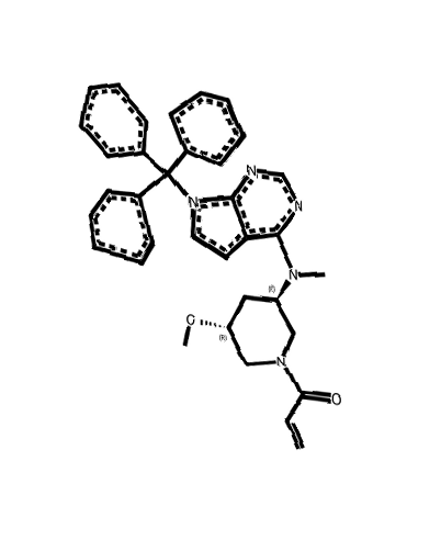 C=CC(=O)N1C[C@H](OC)C[C@@H](N(C)c2ncnc3c2ccn3C(c2ccccc2)(c2ccccc2)c2ccccc2)C1